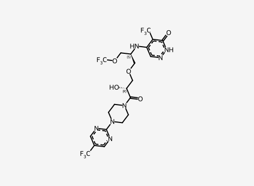 O=C([C@H](O)COC[C@@H](COC(F)(F)F)Nc1cn[nH]c(=O)c1C(F)(F)F)N1CCN(c2ncc(C(F)(F)F)cn2)CC1